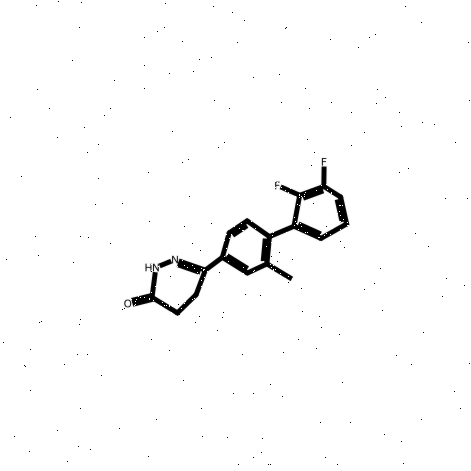 Cc1cc(C2=NNC(=O)CC2)ccc1-c1cccc(F)c1F